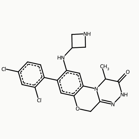 CC1C(=O)NN=C2COc3cc(-c4ccc(Cl)cc4Cl)c(NC4CNC4)cc3N21